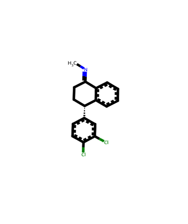 CN=C1CC[C@@H](c2ccc(Cl)c(Cl)c2)c2ccccc21